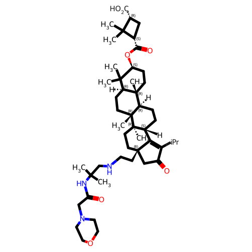 CC(C)C1=C2[C@H]3CC[C@@H]4[C@@]5(C)CC[C@H](OC(=O)[C@H]6C[C@@H](C(=O)O)C6(C)C)C(C)(C)[C@@H]5CC[C@@]4(C)[C@]3(C)CC[C@@]2(CCNCC(C)(C)NC(=O)CN2CCOCC2)CC1=O